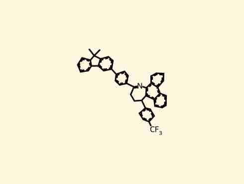 CC1(C)c2ccccc2-c2cc(-c3ccc(C4=Nc5c(c6ccccc6c6ccccc56)C(c5ccc(C(F)(F)F)cc5)CC4)cc3)ccc21